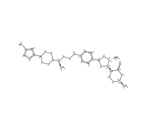 CC(C)c1noc(N2CCC([C@H](C)CCOc3cnc(N4C[C@H](N)[C@@H](N5CC[C@H](C)CC5=O)C4)nc3)CC2)n1